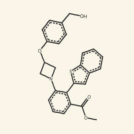 COC(=O)c1cccc(N2CC(Oc3ccc(CO)cc3)C2)c1-c1cc2ccccc2s1